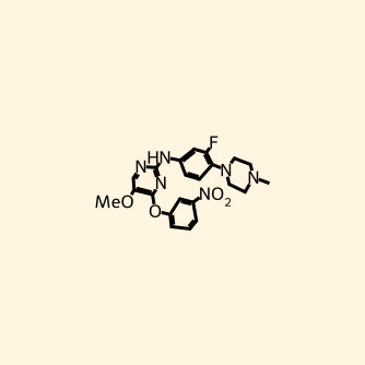 COc1cnc(Nc2ccc(N3CCN(C)CC3)c(F)c2)nc1Oc1cccc([N+](=O)[O-])c1